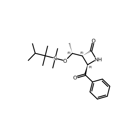 CC(C)C(C)(C)[Si](C)(C)O[C@H](C)[C@@H]1C(=O)N[C@H]1C(=O)c1ccccc1